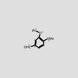 CSc1ccc(C=O)cc1OC(C)C